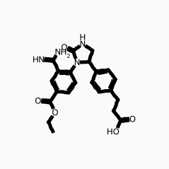 CCOC(=O)c1ccc(N2C(=O)NCC2c2ccc(CCC(=O)O)cc2)c(C(=N)N)c1